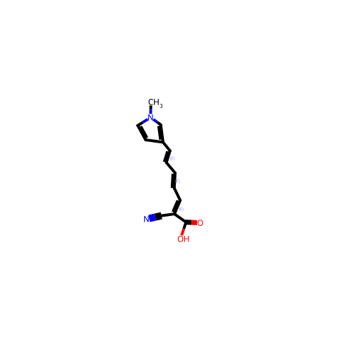 Cn1ccc(/C=C/C=C/C=C(\C#N)C(=O)O)c1